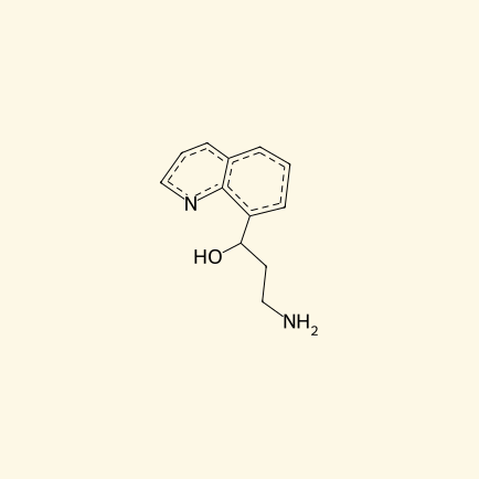 NCCC(O)c1cccc2cccnc12